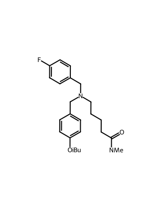 CNC(=O)CCCCN(Cc1ccc(F)cc1)Cc1ccc(OCC(C)C)cc1